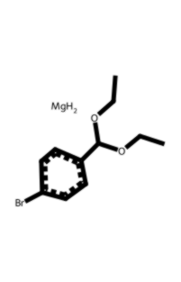 CCOC(OCC)c1ccc(Br)cc1.[MgH2]